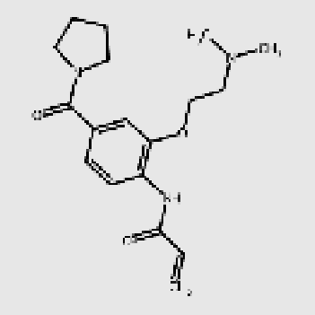 C=CC(=O)Nc1ccc(C(=O)N2CCCC2)cc1OCCN(C)C